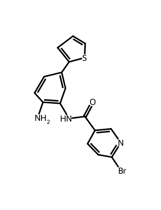 Nc1ccc(-c2cccs2)cc1NC(=O)c1ccc(Br)nc1